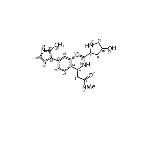 CNC(=O)C[C@H](NC(=O)C1CC(O)CN1)c1ccc(-c2scnc2C)cc1